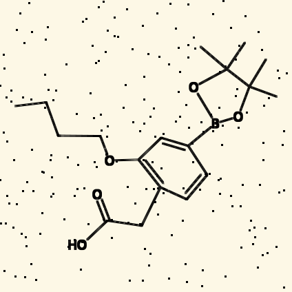 CCCCOc1cc(B2OC(C)(C)C(C)(C)O2)ccc1CC(=O)O